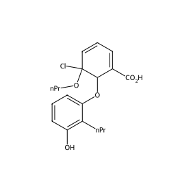 CCCOC1(Cl)C=CC=C(C(=O)O)C1Oc1cccc(O)c1CCC